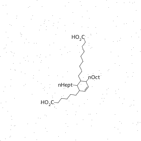 CCCCCCCCC1C=CC(CCCCCC(=O)O)C(CCCCCCC)C1CCCCCCCCC(=O)O